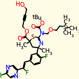 CC(C)(C)OC(=O)N(COCC[Si](C)(C)C)C1=N[C@](C)(c2cc(/C=C(\F)c3cnc(Cl)cn3)ccc2F)CC(C)(C(=O)OCC#CCO)S1